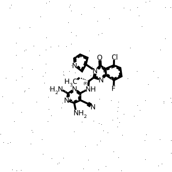 CC[C@@H](Nc1nc(N)nc(N)c1C#N)c1nc2c(F)ccc(Cl)c2c(=O)n1-c1cccnc1